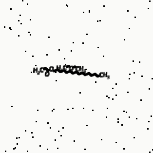 C=CC(=O)OCCCCCCCCCCCCCCCC.CCOCC